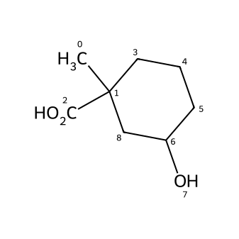 CC1(C(=O)O)CCCC(O)C1